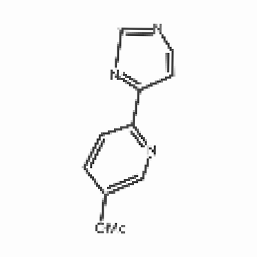 COc1ccc(-c2ccn[c]n2)nc1